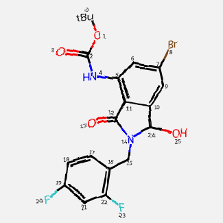 CC(C)(C)OC(=O)Nc1cc(Br)cc2c1C(=O)N(Cc1ccc(F)cc1F)C2O